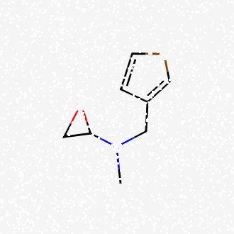 CN(Cc1ccsc1)C1CO1